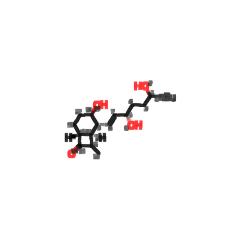 CCCCC(O)CC[C@H](O)/C=C/[C@@H]1[C@H]2C(C)C(=O)[C@@H]2CC[C@H]1O